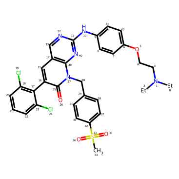 CCN(CC)CCOc1ccc(Nc2ncc3cc(-c4c(Cl)cccc4Cl)c(=O)n(Cc4ccc(S(C)(=O)=O)cc4)c3n2)cc1